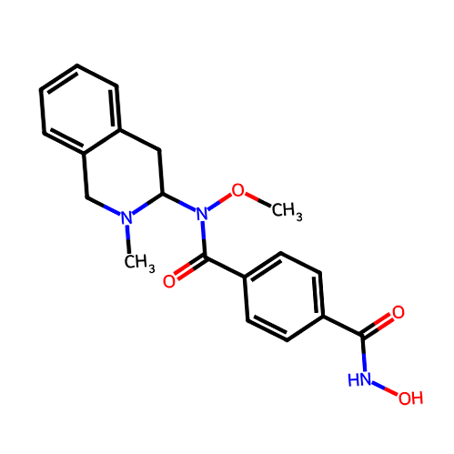 CON(C(=O)c1ccc(C(=O)NO)cc1)C1Cc2ccccc2CN1C